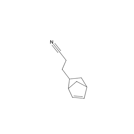 N#CCCC1CC2C=CC1C2